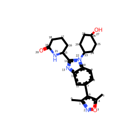 Cc1noc(C)c1-c1ccc2c(c1)nc(C1CCCC(=O)N1)n2C1CCC(O)CC1